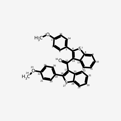 COc1ccc(-c2sc3ccccc3c2C(=O)c2c(-c3ccc(OC)cc3)sc3ccccc23)cc1